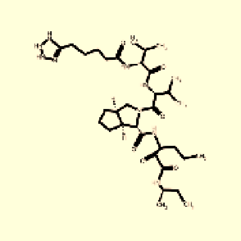 CCCC(NC(=O)[C@@H]1[C@H]2CCC[C@H]2CN1C(=O)[C@@H](NC(=O)[C@@H](NC(=O)CCCCC1=NNNN1)C(C)C)C(C)C)C(=O)C(=O)N[C@H](C)CC